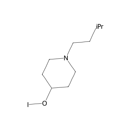 CC(C)CCN1CCC(OI)CC1